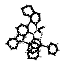 O=S1(=O)c2ccc3ccccc3c2-c2ccc3c4ccccc4n(-c4ccccc4)c3c2N1c1nc(-c2ccccc2)c2ccccc2n1